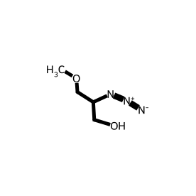 COCC(CO)N=[N+]=[N-]